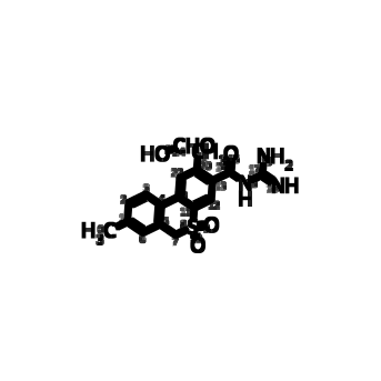 Cc1ccc2c(c1)CS(=O)(=O)c1cc(C(=O)NC(=N)N)c(C)cc1-2.O=CO